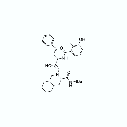 Cc1c(O)cccc1C(=O)NC(CSc1ccccc1)[C@H](O)CN1CC2CCCCC2CC1C(=O)NC(C)(C)C